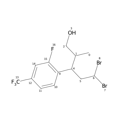 CC(CO)C(CC(Br)Br)c1ccc(C(F)(F)F)cc1F